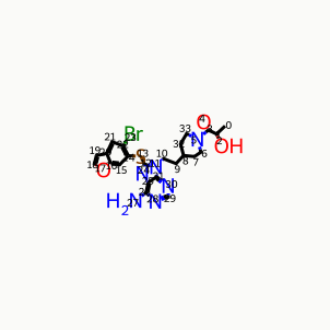 CC(O)C(=O)N1CCC(CCn2c(Sc3cc4occc4cc3Br)nc3c(N)ncnc32)CC1